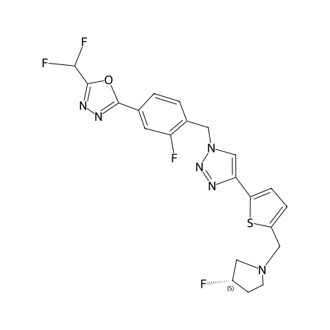 Fc1cc(-c2nnc(C(F)F)o2)ccc1Cn1cc(-c2ccc(CN3CC[C@H](F)C3)s2)nn1